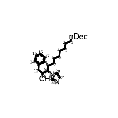 CCCCCCCCCCCCCCCCCCC(C(C)Cc1ccccc1)n1ccnc1